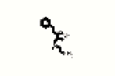 CN(CCN)Cc1c[nH]nc1CCc1ccccc1